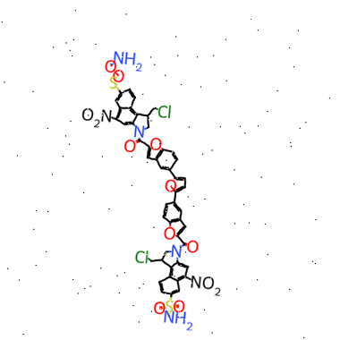 NOOSc1ccc2c3c(cc([N+](=O)[O-])c2c1)N(C(=O)c1cc2cc(-c4ccc(-c5ccc6oc(C(=O)N7CC(CCl)c8c7cc([N+](=O)[O-])c7cc(S(N)(=O)=O)ccc87)cc6c5)o4)ccc2o1)CC3CCl